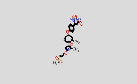 C=C1CC[C@@H](Oc2ccc(C3CC(=O)NS(=O)(=O)N3)cc2)C/C=C\C=C/1Oc1ccc(OCCCS(C)(=O)=O)nc1C